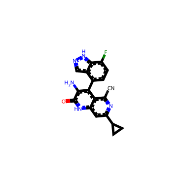 N#Cc1nc(C2CC2)cc2[nH]c(=O)c(N)c(-c3ccc(F)c4[nH]ncc34)c12